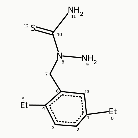 CCc1ccc(CC)c(CN(N)C(N)=S)c1